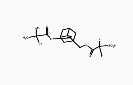 CCCC(C)(CC)C(=O)OC1=C2C3CC2CC(COC(=O)C(F)(F)S(=O)(=O)O)(C1)C3